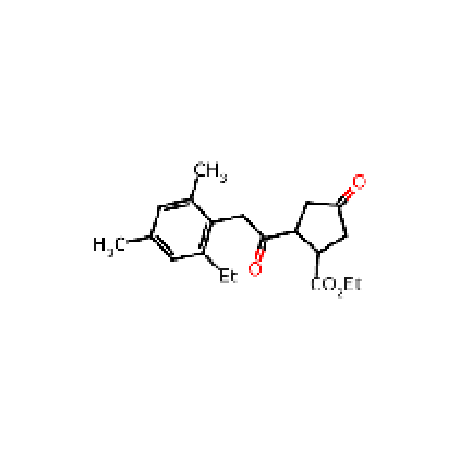 CCOC(=O)C1CC(=O)CC1C(=O)Cc1c(C)cc(C)cc1CC